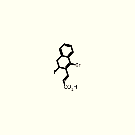 O=C(O)C=CC1=C(Br)c2ccccc2CC1I